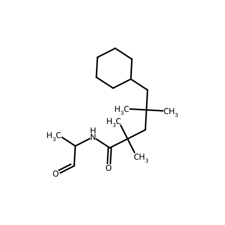 CC(C=O)NC(=O)C(C)(C)CC(C)(C)CC1CCCCC1